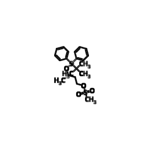 C[C@@H](CCOS(C)(=O)=O)O[Si](c1ccccc1)(c1ccccc1)C(C)(C)C